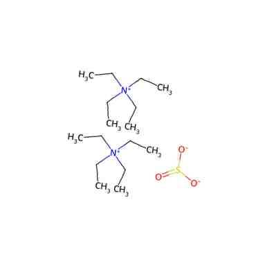 CC[N+](CC)(CC)CC.CC[N+](CC)(CC)CC.O=S([O-])[O-]